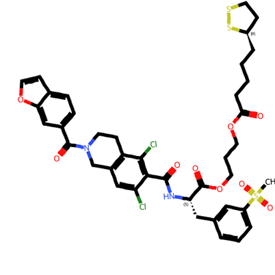 CS(=O)(=O)c1cccc(C[C@H](NC(=O)c2c(Cl)cc3c(c2Cl)CCN(C(=O)c2ccc4ccoc4c2)C3)C(=O)OCCCOC(=O)CCCC[C@@H]2CCSS2)c1